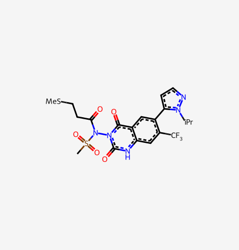 CSCCC(=O)N(n1c(=O)[nH]c2cc(C(F)(F)F)c(-c3ccnn3C(C)C)cc2c1=O)S(C)(=O)=O